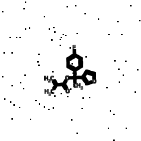 C=C(C)C(=O)OC(C)(c1ccc(F)cc1)c1ccoc1